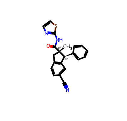 C[C@]1(C(=O)Nc2nccs2)Cc2ccc(C#N)cc2[C@@H]1c1ccccc1